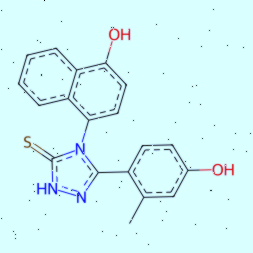 Cc1cc(O)ccc1-c1n[nH]c(=S)n1-c1ccc(O)c2ccccc12